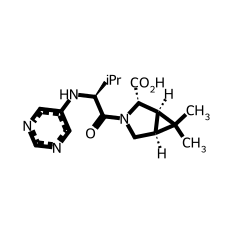 CC(C)[C@H](Nc1cncnc1)C(=O)N1C[C@H]2[C@@H]([C@H]1C(=O)O)C2(C)C